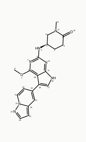 COc1nc(N[C@@H]2CCC(=O)N(C)C2)nc2[nH]cc(-c3ccn4nccc4c3)c12